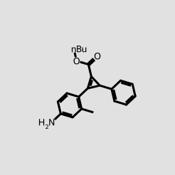 CCCCOC(=O)C1=C(c2ccc(N)cc2C)C1c1ccccc1